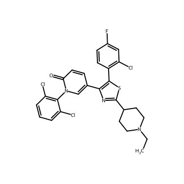 CCN1CCC(c2nc(-c3ccc(=O)n(-c4c(Cl)cccc4Cl)c3)c(-c3ccc(F)cc3Cl)s2)CC1